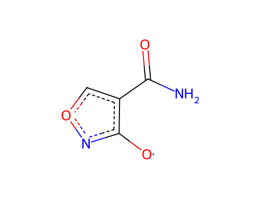 NC(=O)c1conc1[O]